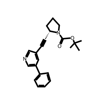 CC(C)(C)OC(=O)N1CCC[C@H]1C#Cc1cncc(-c2ccccc2)c1